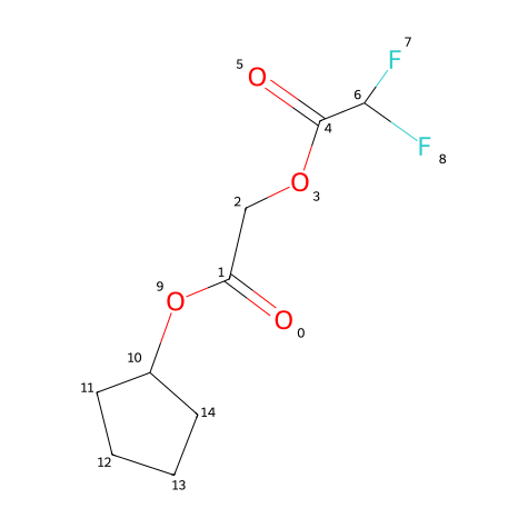 O=C(COC(=O)C(F)F)OC1CCCC1